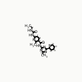 CCNC(=O)Nc1ccc(C(=O)Nc2nc(C)nc(-c3ccccn3)n2)c(C)n1